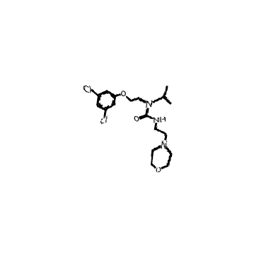 CC(C)N(CCOc1cc(Cl)cc(Cl)c1)C(=O)NCCN1CCOCC1